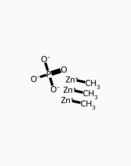 O=P([O-])([O-])[O-].[CH3][Zn+].[CH3][Zn+].[CH3][Zn+]